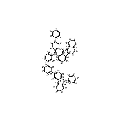 c1ccc(-c2ccc(N(c3cccc(-c4cccc(-c5ccc6c(c5)c5ccccc5n6-c5ccccc5)c4)c3)c3cccc4c3sc3c5ccccc5ccc43)cc2)cc1